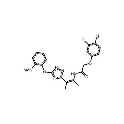 COc1ccccc1Oc1nnc(/C(C)=C(/C)NC(=O)COc2ccc(Cl)c(F)c2)o1